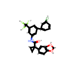 O=C(Nc1cc(-c2cccc(Cl)c2)cc(C(F)(F)F)c1)C1(c2ccc3c(c2)OCO3)CC1